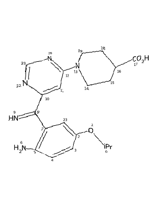 CC(C)Oc1ccc(N)c(C(=N)c2cc(N3CCC(C(=O)O)CC3)ncn2)c1